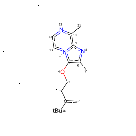 C=C(CCOc1c(C)nc2c(C)nccn12)C(C)(C)C